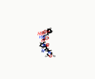 C[C@@H]1CN(C(C)(C)/C=C(\C#N)C(=O)N2C3CCC2(COC(=O)N[C@@H](Cc2ccccc2)B(O)O)CC3)C[C@H](C)O1